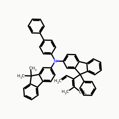 C=CC(=C(C)C)C1(c2ccccc2)c2ccccc2-c2ccc(N(c3ccc(-c4ccccc4)cc3)c3ccc4c(c3)C(C)(C)c3ccccc3-4)cc21